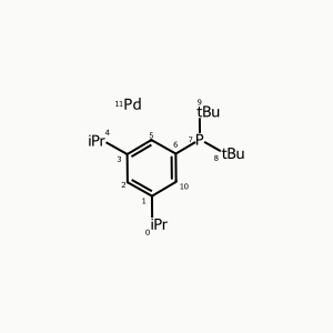 CC(C)c1cc(C(C)C)cc(P(C(C)(C)C)C(C)(C)C)c1.[Pd]